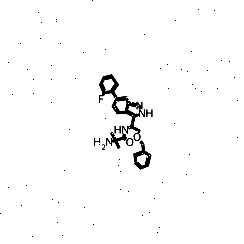 CC(C)(N)C(=O)NC(COCc1ccccc1)c1[nH]nc2cc(-c3ccccc3F)ccc12